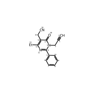 C#CCn1c(-c2ccccc2)nc(CC)c(CC#N)c1=O